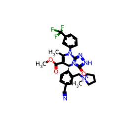 COC(=O)C1=C(C)N(c2cccc(C(F)(F)F)c2)c2n[nH]c(=O)n2[C@@H]1c1ccc(C#N)cc1C[N+]1(C)CCCC1